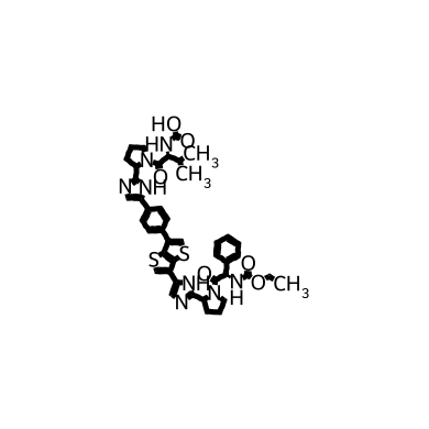 CCOC(=O)N[C@@H](C(=O)N1CCCC1c1ncc(-c2csc3c(-c4ccc(-c5cnc(C6CCCN6C(=O)[C@@H](NC(=O)O)C(C)C)[nH]5)cc4)csc23)[nH]1)c1ccccc1